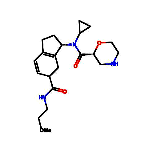 COCCNC(=O)C1C=CC2=C(C1)[C@@H](N(C(=O)[C@H]1CNCCO1)C1CC1)CC2